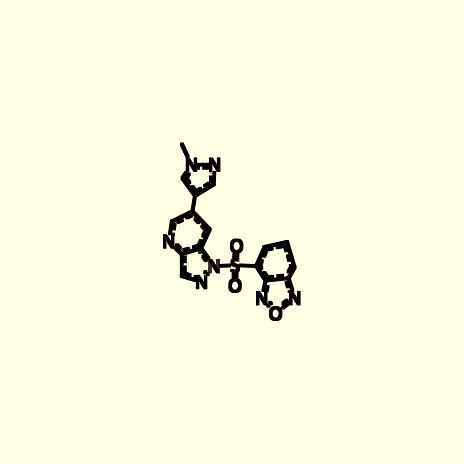 Cn1cc(-c2cnc3cnn(S(=O)(=O)c4cccc5nonc45)c3c2)cn1